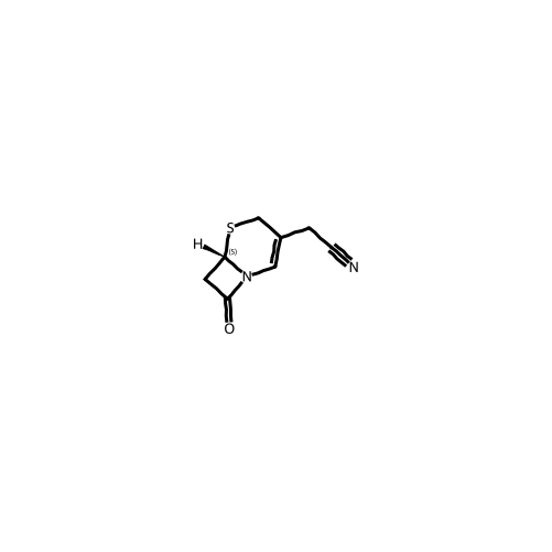 N#CCC1=CN2C(=O)C[C@@H]2SC1